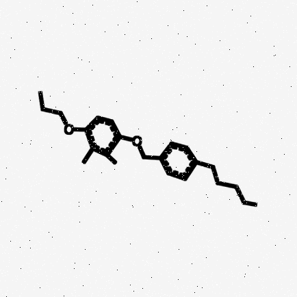 CCCCCc1ccc(COc2ccc(OCCC)c(C)c2C)cc1